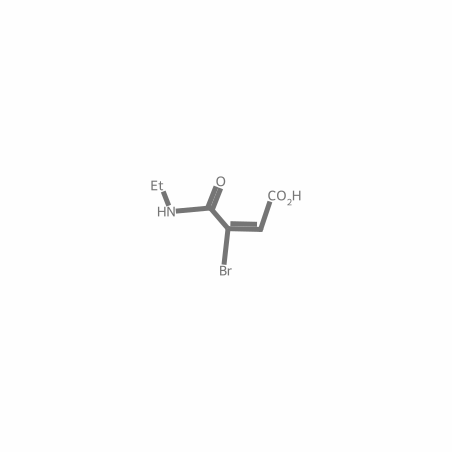 CCNC(=O)/C(Br)=C\C(=O)O